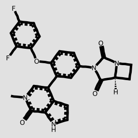 Cn1cc(-c2cc(N3C(=O)[C@@H]4CCN4C3=O)ccc2Oc2ccc(F)cc2F)c2cc[nH]c2c1=O